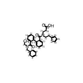 CCN(Cc1ccccc1)C(=O)c1ccccc1-c1ccccc1C(=O)N(CCC(=O)O)CCc1cccs1